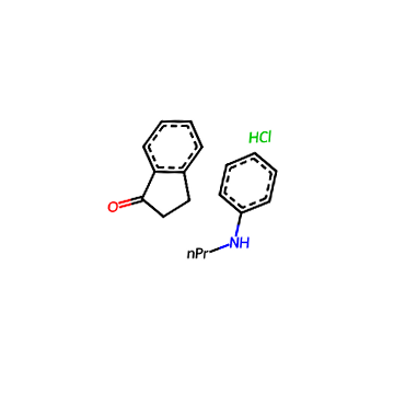 CCCNc1ccccc1.Cl.O=C1CCc2ccccc21